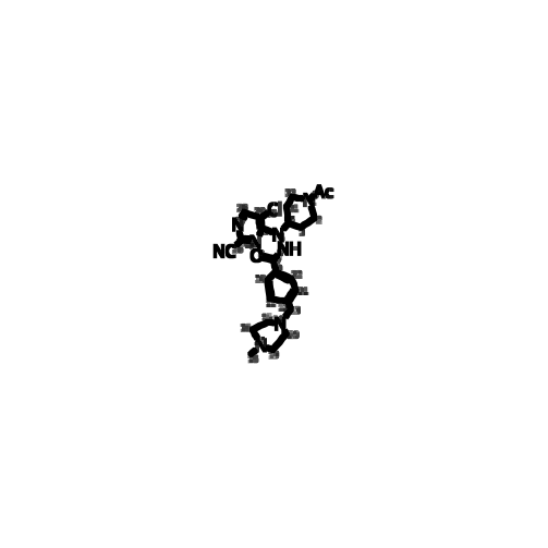 CC(=O)N1CCC(N(NC(=O)c2ccc(CN3CCN(C)CC3)cc2)c2nc(C#N)ncc2Cl)CC1